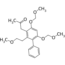 COCCc1c(CC(C)=O)c(OCOC)cc(OCOC)c1-c1ccccc1